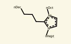 CCCCCCCCCCCCCc1n(CCCCCCC)cc[n+]1CCCCCCCC